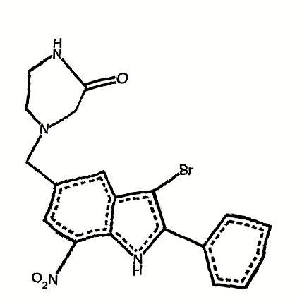 O=C1CN(Cc2cc([N+](=O)[O-])c3[nH]c(-c4ccccc4)c(Br)c3c2)CCN1